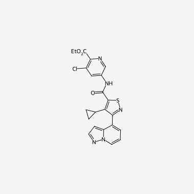 CCOC(=O)c1ncc(NC(=O)c2snc(-c3cccn4nccc34)c2C2CC2)cc1Cl